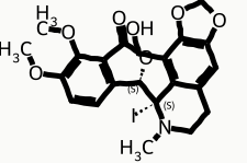 COc1ccc2c(c1OC)C(=O)O[C@@H]2[C@@]1(I)c2c(cc3c(c2CO)OCO3)CCN1C